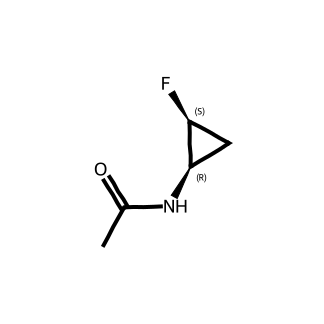 CC(=O)N[C@@H]1C[C@@H]1F